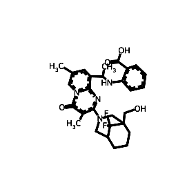 Cc1cc(C(C)Nc2ccccc2C(=O)O)c2nc(N3CC4CCCC(CO)(C3)C4(F)F)c(C)c(=O)n2c1